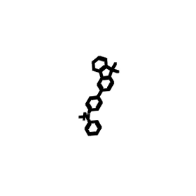 CN(c1ccccc1)c1ccc(-c2ccc3c(c2)C2=C(C=CCC2)C3(C)C)cc1